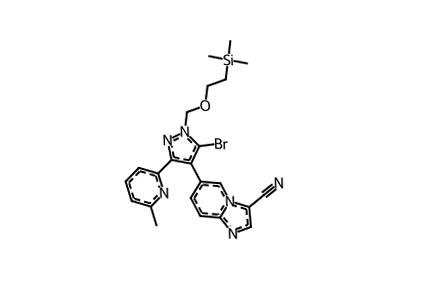 Cc1cccc(-c2nn(COCC[Si](C)(C)C)c(Br)c2-c2ccc3ncc(C#N)n3c2)n1